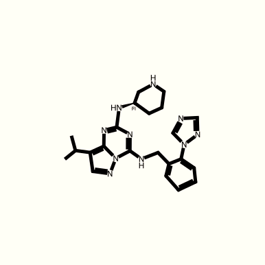 CC(C)c1cnn2c(NCc3ccccc3-n3cncn3)nc(N[C@@H]3CCCNC3)nc12